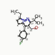 CCc1ccc2c(-c3ccc(F)cc3)c(C[O])c(C(C)C)nn12